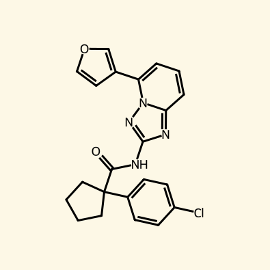 O=C(Nc1nc2cccc(-c3ccoc3)n2n1)C1(c2ccc(Cl)cc2)CCCC1